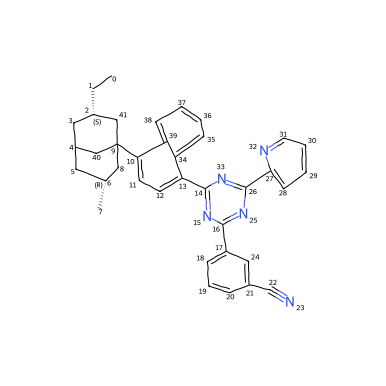 CC[C@H]1CC2C[C@@H](C)CC(c3ccc(-c4nc(-c5cccc(C#N)c5)nc(-c5ccccn5)n4)c4ccccc34)(C2)C1